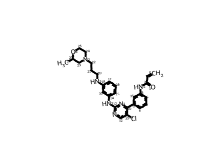 C=CC(=O)Nc1cccc(-c2nc(Nc3cccc(NCCCN4CCOC(C)C4)c3)ncc2Cl)c1